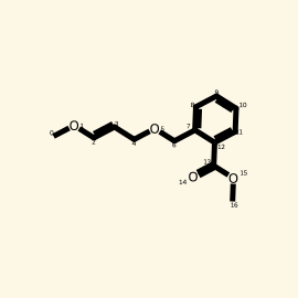 COC=CCOCc1ccccc1C(=O)OC